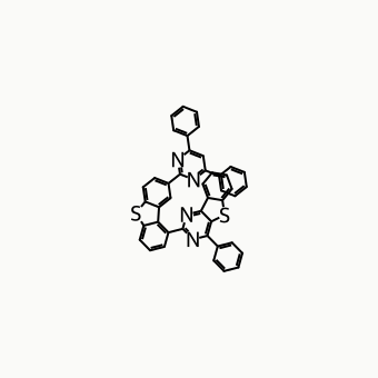 c1ccc(-c2cc(-c3ccccc3)nc(-c3ccc4sc5cccc(-c6nc(-c7ccccc7)c7sc8ccccc8c7n6)c5c4c3)n2)cc1